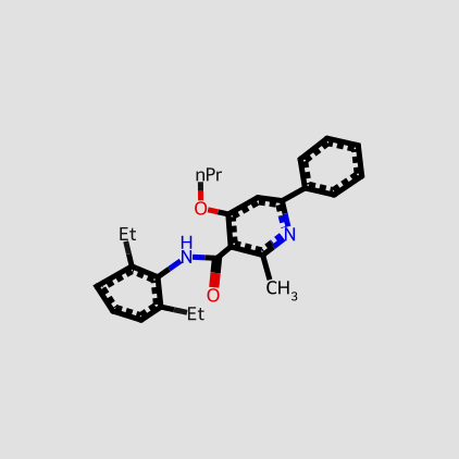 CCCOc1cc(-c2ccccc2)nc(C)c1C(=O)Nc1c(CC)cccc1CC